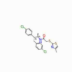 Cc1csc(SCC(=O)N[C@H](C)[C@H](Cc2ccc(Cl)cc2)c2ccc(Cl)cc2)n1